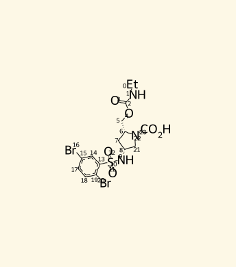 CCNC(=O)OC[C@H]1C[C@@H](NS(=O)(=O)c2cc(Br)ccc2Br)CN1C(=O)O